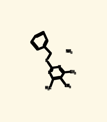 Cc1nc(SCc2ccccc2)nc(C)c1C.N